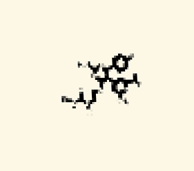 CCNC(=O)N(CC)CCOc1nc(N)nc(-c2ccc(F)cc2)c1-c1cc(C)nc(C(F)F)c1